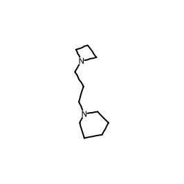 C1CCN(CCCN2CCC2)CC1